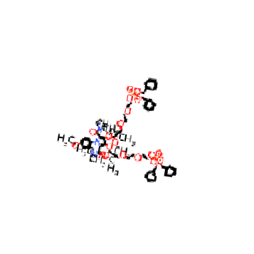 COc1ccc(-n2c(C(=O)N(C)C)c(OC(=O)C(C)(C)COCCOCCOP(=O)(OCc3ccccc3)OCc3ccccc3)c(OC(=O)C(C)(C)COCCOCCOP(=O)(OCc3ccccc3)OCc3ccccc3)c2C(=O)N(C)C)cc1